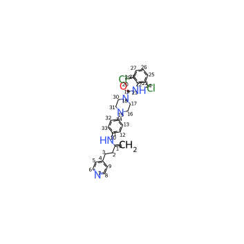 C=C(CCc1ccncc1)Nc1ccc(N2CCN(C(=O)Nc3c(Cl)cccc3Cl)CC2)cc1